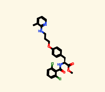 COC(=O)[C@H](Cc1ccc(OCCCNc2ncccc2C)cc1)NC(=O)c1c(Cl)cccc1Cl